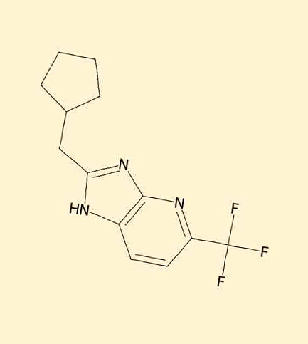 FC(F)(F)c1ccc2[nH]c(CC3CCCC3)nc2n1